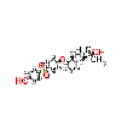 Cc1c(C#CC(C)(C)O)cccc1Oc1ccc(S(=O)(=O)c2ccc(O)cc2)cc1